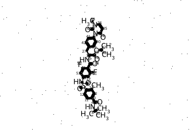 Cc1cc(C(=O)NC(C)(C)C)ccc1S(=O)(=O)Nc1cc(F)c(C(=O)N[C@@H](Cc2ccc(-n3c(=O)ccn(C)c3=O)cc2)C(=O)OC(C)C)c(F)c1